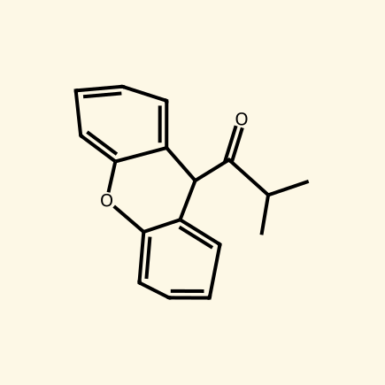 CC(C)C(=O)C1c2ccccc2Oc2ccccc21